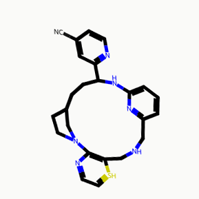 N#Cc1ccnc(C2CCC3CCN(C3)C3=C(CNCc4cccc(n4)N2)[SH]=CC=N3)c1